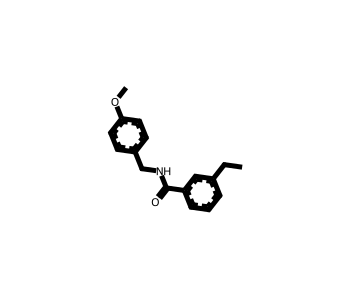 CCc1cccc(C(=O)NCc2ccc(OC)cc2)c1